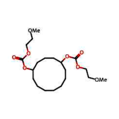 COCCOC(=O)OC1CCCCCCCC(OC(=O)OCCOC)CCC1